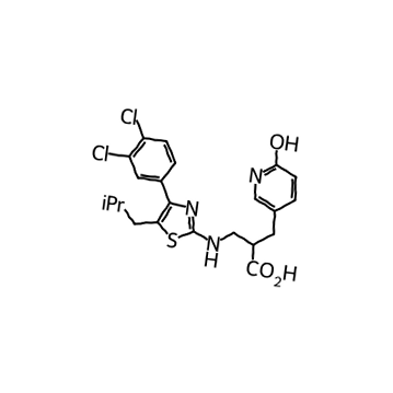 CC(C)Cc1sc(NCC(Cc2ccc(O)nc2)C(=O)O)nc1-c1ccc(Cl)c(Cl)c1